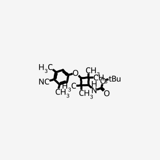 Cc1cc(OC2C(C)(C)C(NC(=O)OC(C)(C)C)C2(C)C)cc(C)c1C#N